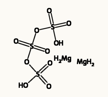 O=S(=O)(O)OS(=O)(=O)OS(=O)(=O)O.[MgH2].[MgH2]